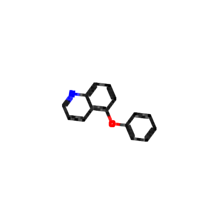 c1ccc(Oc2cccc3ncccc23)cc1